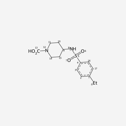 CCc1ccc(S(=O)(=O)NC2CCN(C(=O)O)CC2)cc1